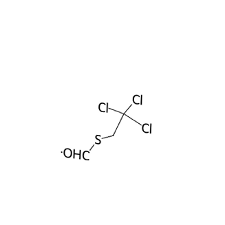 O=[C]SCC(Cl)(Cl)Cl